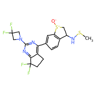 CSNC1C[S+]([O-])c2cc(-c3nc(N4CC(F)(F)C4)nc4c3CCC4(F)F)ccc21